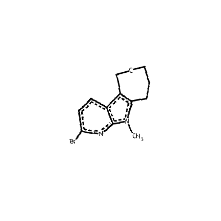 Cn1c2c(c3ccc(Br)nc31)CCCCC2